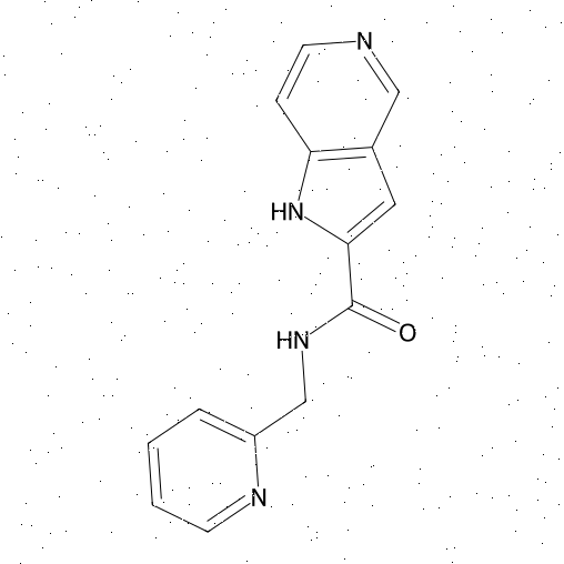 O=C(NCc1ccccn1)c1cc2cnccc2[nH]1